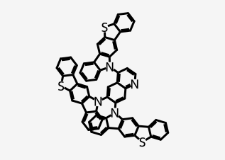 c1ccc2c(c1)sc1cc3c4ccccc4n(-c4cc5nccc(-n6c7ccccc7c7cc8sc9ccccc9c8cc76)c5cc4-n4c5ccccc5c5cc6sc7ccccc7c6cc54)c3cc12